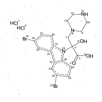 Cl.Cl.O=C(O)C(O)(CN1CCNCC1)n1c2ccc(Br)cc2c2cc(Br)ccc21